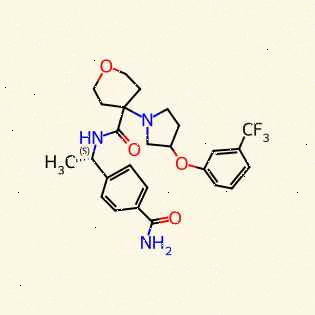 C[C@H](NC(=O)C1(N2CCC(Oc3cccc(C(F)(F)F)c3)C2)CCOCC1)c1ccc(C(N)=O)cc1